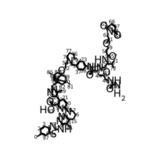 Cc1ccc2nc(Nc3nnc4c(c3C)CCCN4c3ccc(-c4cnn(CC56CC7(OCC[N+]8(Cc9ccc(NC(=O)[C@H](CCCNC(N)=O)NC(=O)[C@@H](NC(=O)CCOCCN%10C(=O)C=CC%10=O)C(C)C)cc9)CCCC8)C[C@](C)(C5)C[C@](C)(C6)C7)c4C)c(C(=O)O)n3)sc2c1